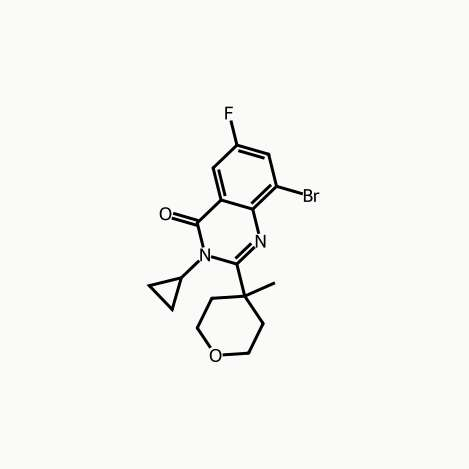 CC1(c2nc3c(Br)cc(F)cc3c(=O)n2C2CC2)CCOCC1